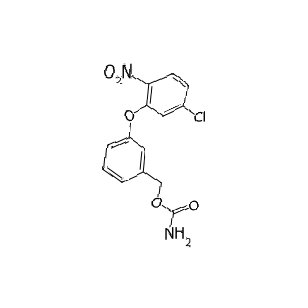 NC(=O)OCc1cccc(Oc2cc(Cl)ccc2[N+](=O)[O-])c1